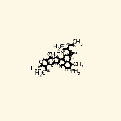 C=C1OCC2=C(C=C3c4nc5cc(P)c(C)c6c5c(c4CN3C2=C)C(NC(=C)C(CCC)C2CC2)CC6)C1CC